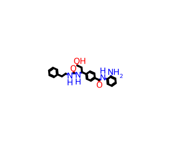 Nc1ccccc1NC(=O)c1ccc(C(CCO)NC(=O)NCCc2ccccc2)cc1